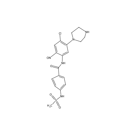 CS(=O)(=O)Nc1ccc(C(=O)Nc2cc(N3CCNCC3)c(Cl)cc2N=O)cc1